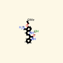 COCCOc1ccc2c(c1CN)C=C/C(=C1/C(=O)Nc3ccccc31)N2.Cl